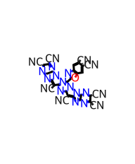 N#CC(=C1N=c2nc(C#N)c(C#N)nc2=N1)c1nc(C(C#N)=C2N=c3nc(C#N)c(C#N)nc3=N2)nc(-c2nc3cc(C#N)c(C#N)cc3o2)n1